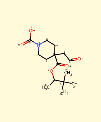 CC(OC(=O)C1(CC=O)CCN(C(=O)O)CC1)C(C)(C)C